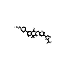 CC1(C)C(=O)N(Cc2ccc(-c3nnc(C(F)F)o3)cn2)C(=O)c2cc(C3=CCN(C(=O)O)CC3)ccc21